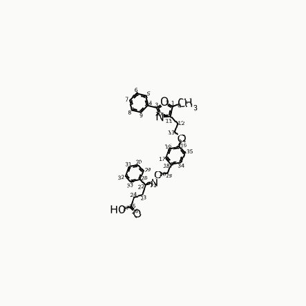 Cc1oc(-c2ccccc2)nc1CCOc1ccc(CON=C(CCC(=O)O)c2ccccc2)cc1